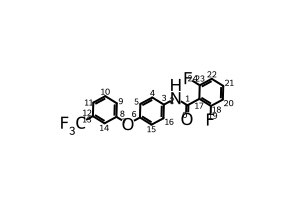 O=C(Nc1ccc(Oc2cccc(C(F)(F)F)c2)cc1)c1c(F)cccc1F